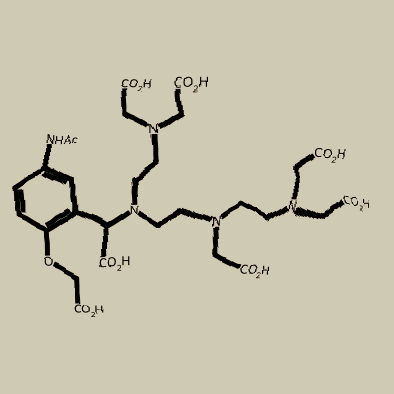 CC(=O)Nc1ccc(OCC(=O)O)c(C(C(=O)O)N(CCN(CCN(CC(=O)O)CC(=O)O)CC(=O)O)CCN(CC(=O)O)CC(=O)O)c1